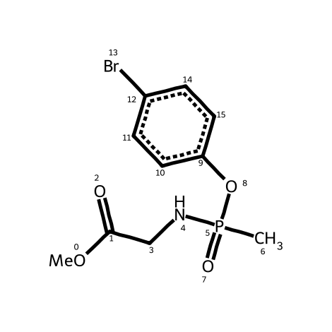 COC(=O)CNP(C)(=O)Oc1ccc(Br)cc1